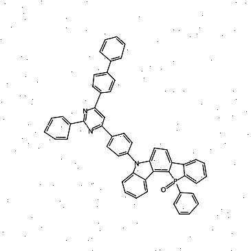 O=P1(c2ccccc2)c2ccccc2-c2ccc3c(c21)c1ccccc1n3-c1ccc(-c2cc(-c3ccc(-c4ccccc4)cc3)nc(-c3ccccc3)n2)cc1